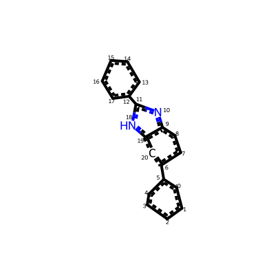 [c]1ccccc1-c1ccc2nc(-c3ccccc3)[nH]c2c1